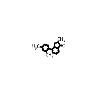 Cc1ccc(-c2cccc3c2CC(C)C3=O)c(C)c1